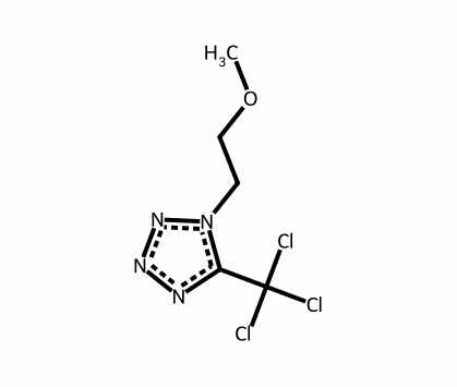 COCCn1nnnc1C(Cl)(Cl)Cl